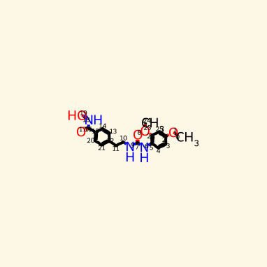 COc1ccc(NC(=O)NCCc2ccc(C(=O)NO)cc2)c(OC)c1